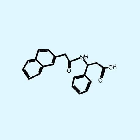 O=C(O)CC(NC(=O)Cc1ccc2ccccc2c1)c1ccccc1